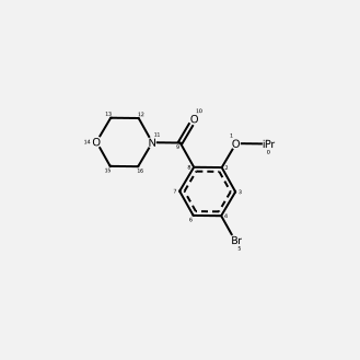 CC(C)Oc1cc(Br)ccc1C(=O)N1CCOCC1